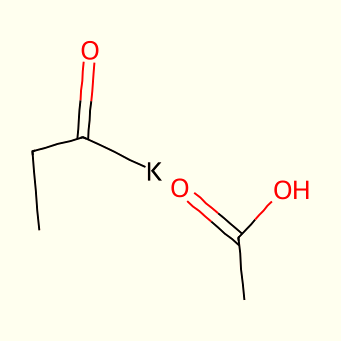 CC(=O)O.CC[C](=O)[K]